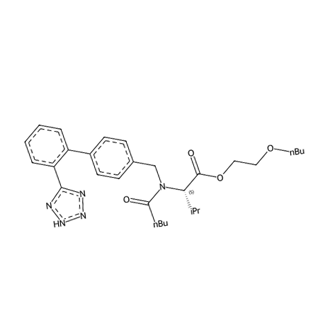 CCCCOCCOC(=O)[C@H](C(C)C)N(Cc1ccc(-c2ccccc2-c2nn[nH]n2)cc1)C(=O)CCCC